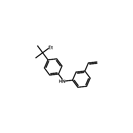 C=Cc1cccc(Nc2ccc(C(C)(C)CC)cc2)c1